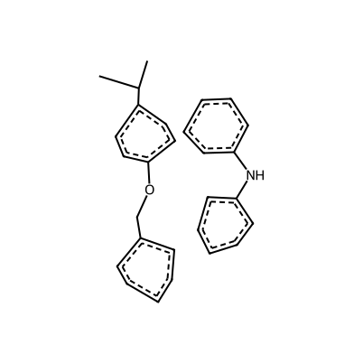 CC(C)c1ccc(OCc2ccccc2)cc1.c1ccc(Nc2ccccc2)cc1